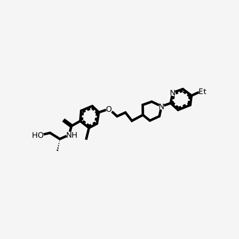 C=C(N[C@H](C)CO)c1ccc(OCCCC2CCN(c3ccc(CC)cn3)CC2)cc1C